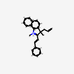 C=CCC1(C)C(/C=C/c2ccccc2)=[N+](C)c2c1ccc1ccccc21